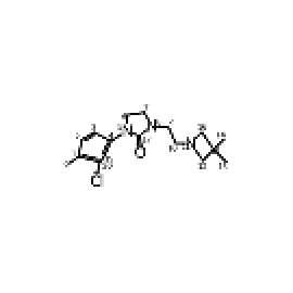 Cc1ccc(N2CCN(CCN3CC(C)(C)C3)C2=O)cc1Cl